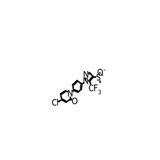 C[S+]([O-])c1cnn(-c2ccc(-n3ccc(Cl)cc3=O)cc2)c1C(F)(F)F